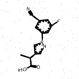 CC(C(=O)O)c1cnn(-c2cc(F)cc(C#N)c2)c1